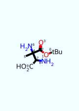 CC(C)(C)OC(=O)C(C)(N)C(N)C(=O)O